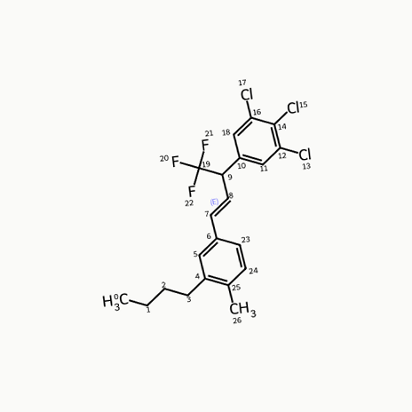 CCCCc1cc(/C=C/C(c2cc(Cl)c(Cl)c(Cl)c2)C(F)(F)F)ccc1C